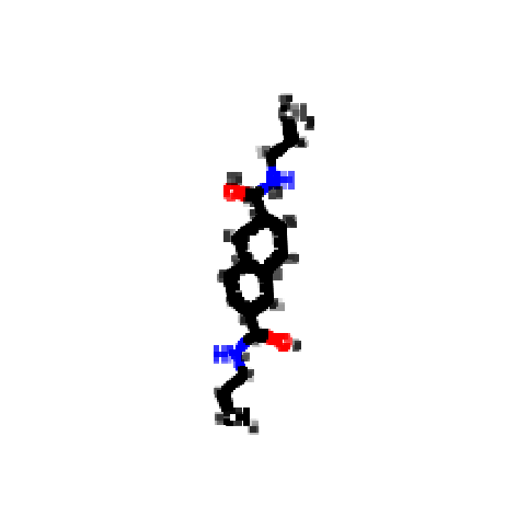 C=CCNC(=O)c1ccc2cc(C(=O)NCC=C)ccc2c1